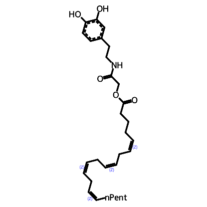 CCCCC/C=C\C/C=C\C/C=C\C/C=C\CCCC(=O)OCC(=O)NCCc1ccc(O)c(O)c1